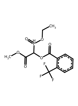 CCO[PH](=O)C(OC(=O)c1ccccc1C(F)(F)F)C(=O)OC